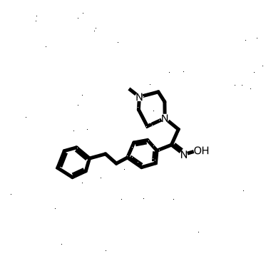 CN1CCN(C/C(=N\O)c2ccc(CCc3ccccc3)cc2)CC1